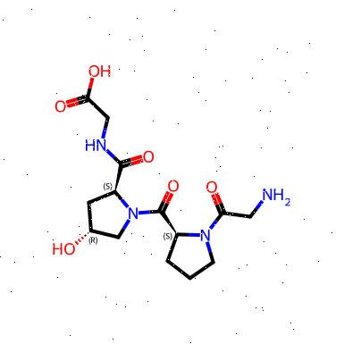 NCC(=O)N1CCC[C@H]1C(=O)N1C[C@H](O)C[C@H]1C(=O)NCC(=O)O